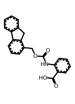 O=C(Nc1ccccc1C(=O)O)OCc1cccc2c1Cc1ccccc1-2